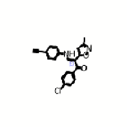 C#Cc1ccc(N/C=C(/C(=O)c2ccc(Cl)cc2)c2cc(C)no2)cc1